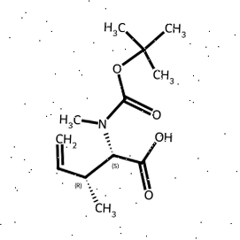 C=C[C@@H](C)[C@@H](C(=O)O)N(C)C(=O)OC(C)(C)C